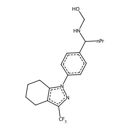 CCCC(NCO)c1ccc(-n2nc(C(F)(F)F)c3c2CCCC3)cc1